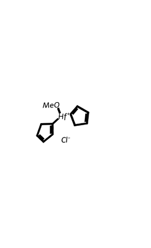 C[O][Hf+]([C]1=CC=CC1)[C]1=CC=CC1.[Cl-]